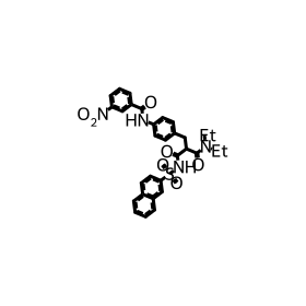 CCN(CC)C(=O)C(Cc1ccc(NC(=O)c2cccc([N+](=O)[O-])c2)cc1)C(=O)NS(=O)(=O)c1ccc2ccccc2c1